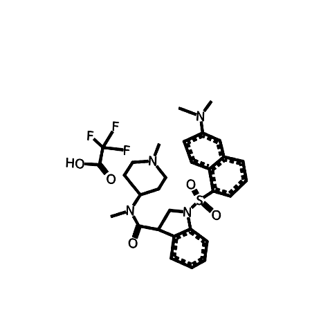 CN1CCC(N(C)C(=O)C2CN(S(=O)(=O)c3cccc4cc(N(C)C)ccc34)c3ccccc32)CC1.O=C(O)C(F)(F)F